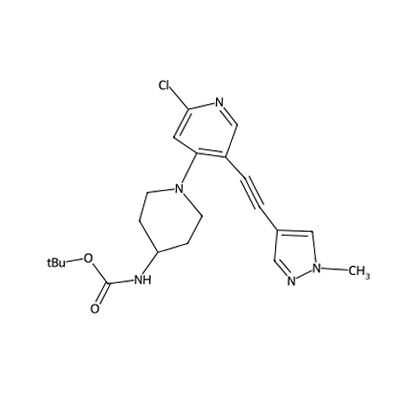 Cn1cc(C#Cc2cnc(Cl)cc2N2CCC(NC(=O)OC(C)(C)C)CC2)cn1